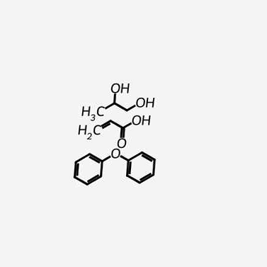 C=CC(=O)O.CC(O)CO.c1ccc(Oc2ccccc2)cc1